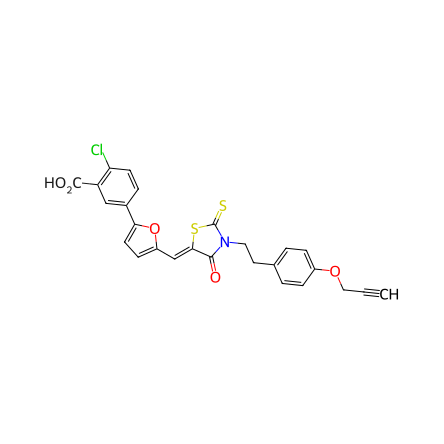 C#CCOc1ccc(CCN2C(=O)/C(=C/c3ccc(-c4ccc(Cl)c(C(=O)O)c4)o3)SC2=S)cc1